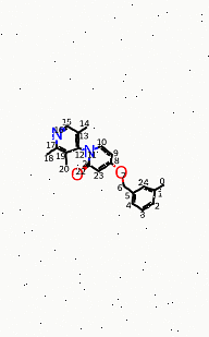 Cc1cccc(COc2ccn(-c3c(C)cnc(C)c3C)c(=O)c2)c1